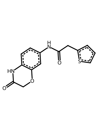 O=C(Cc1cccs1)Nc1ccc2c(c1)OCC(=O)N2